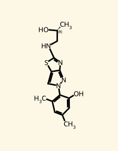 Cc1cc(C)c(-n2cc3sc(NC[C@@H](C)O)nc3n2)c(O)c1